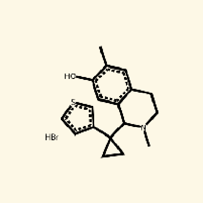 Br.Cc1cc2c(cc1O)C(C1(c3ccsc3)CC1)N(C)CC2